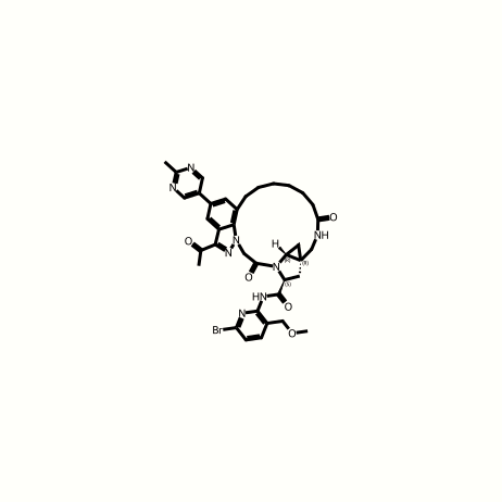 COCc1ccc(Br)nc1NC(=O)[C@@H]1C[C@]23CNC(=O)CCCCCCc4cc(-c5cnc(C)nc5)cc5c(C(C)=O)nn(c45)CC(=O)N1[C@@H]2C3